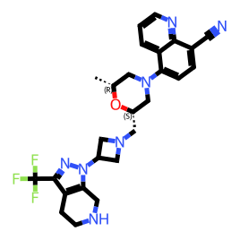 C[C@@H]1CN(c2ccc(C#N)c3ncccc23)C[C@H](CN2CC(n3nc(C(F)(F)F)c4c3CNCC4)C2)O1